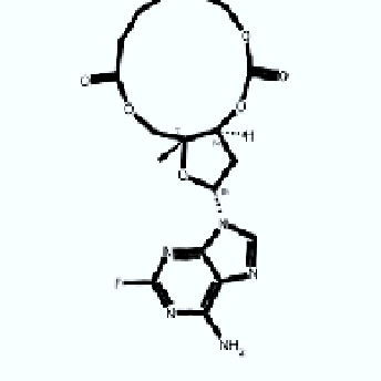 C[C@@]12COC(=O)CCCCCOC(=O)O[C@H]1C[C@H](n1cnc3c(N)nc(F)nc31)O2